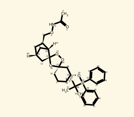 CC(=O)NOC[C@@H]1C[C@@H]2C[C@H]1[C@]1(C2)OO[C@]2(CCC[C@@H](O[Si](c3ccccc3)(c3ccccc3)C(C)(C)C)C2)O1